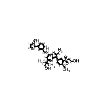 COc1ccc(-c2c(C)nn3c(NCc4cccc(-c5nccn5C)c4)cc(C(C)(C)CO)nc23)cc1S(=O)(=O)CCO